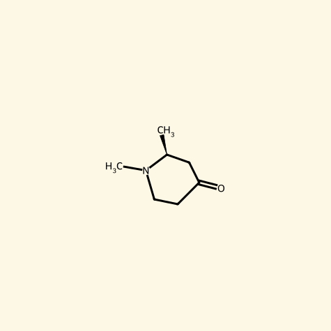 C[C@H]1CC(=O)CCN1C